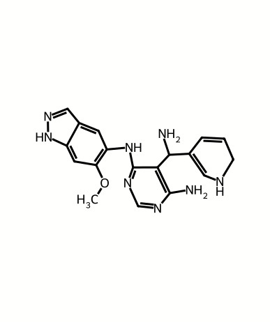 COc1cc2[nH]ncc2cc1Nc1ncnc(N)c1C(N)C1=CNCC=C1